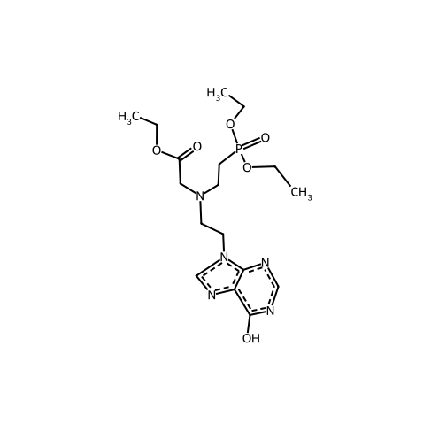 CCOC(=O)CN(CCn1cnc2c(O)ncnc21)CCP(=O)(OCC)OCC